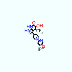 CC(C)Oc1ccc(N2CCC(c3n[nH]c4c3[C@H](C(F)(F)F)[C@H](O)C(=O)N4)CC2)nc1